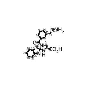 CC(NC1(NC(=O)c2cccc(C=NN)c2)N=c2ccccc2=N1)C(=O)O